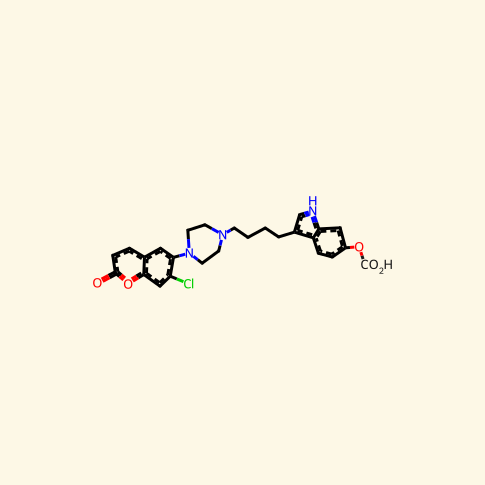 O=C(O)Oc1ccc2c(CCCCN3CCN(c4cc5ccc(=O)oc5cc4Cl)CC3)c[nH]c2c1